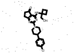 O=C1CCc2nc(N3CCC(c4ccc(Cl)cc4)CC3)nc(NC3(CO)CCC3)c21